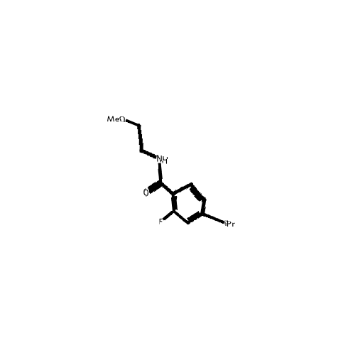 COCCNC(=O)c1ccc(C(C)C)cc1F